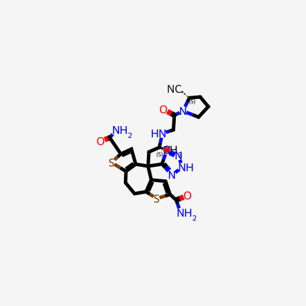 C[C@@H](CC1(c2nn[nH]n2)c2cc(C(N)=O)sc2CCc2sc(C(N)=O)cc21)NCC(=O)N1CCC[C@H]1C#N